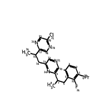 CC(C)c1cccc(CC(C)c2cncc(CC(C)c3cnc(Cl)cn3)n2)c1F